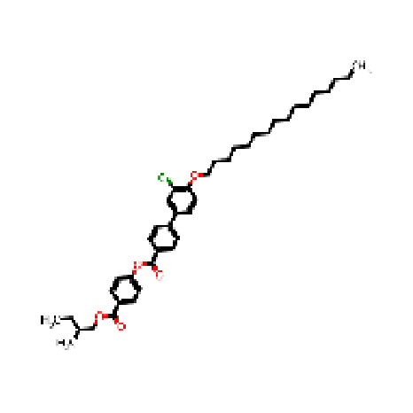 CCCCCCCCCCCCCCCCOc1ccc(-c2ccc(C(=O)Oc3ccc(C(=O)OCC(C)CC)cc3)cc2)cc1Cl